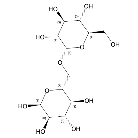 OC[C@H]1O[C@H](OC[C@H]2O[C@H](O)[C@H](O)[C@@H](O)[C@@H]2O)[C@H](O)[C@@H](O)[C@@H]1O